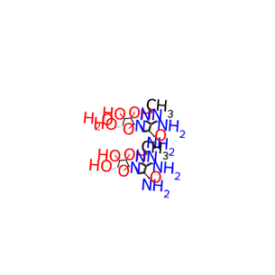 Cc1nc(N)c2c(C(N)=O)cn([C@@H]3O[C@H](CO)[C@@H](O)[C@H]3O)c2n1.Cc1nc(N)c2c(C(N)=O)cn([C@@H]3O[C@H](CO)[C@@H](O)[C@H]3O)c2n1.O